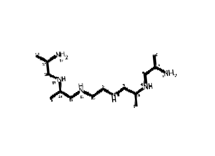 CC(N)CNC(C)CNCCNCC(C)NCC(C)N